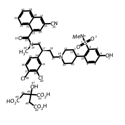 CNS(=O)(=O)c1cc(O)ccc1C1CCN(CC[C@H](CN(C)C(=O)c2cc(C#N)cc3ccccc23)c2ccc(Cl)c(Cl)c2)CC1.O=C(O)CC(O)(CC(=O)O)C(=O)O